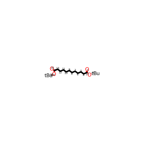 CC(C)(C)OC(=O)CCCCCCCCCCC(=O)OC(C)(C)C